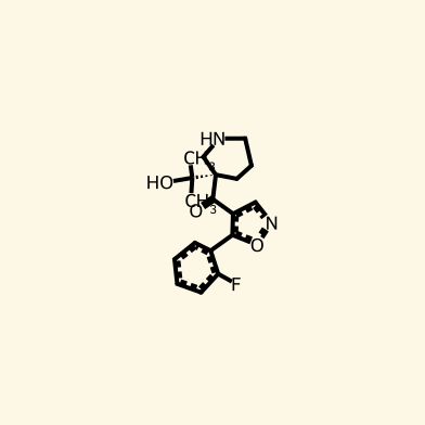 CC(C)(O)[C@@]1(C(=O)c2cnoc2-c2ccccc2F)CCCNC1